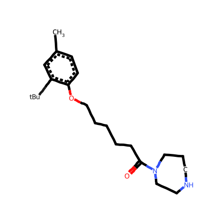 Cc1ccc(OCCCCCC(=O)N2CCCNCC2)c(C(C)(C)C)c1